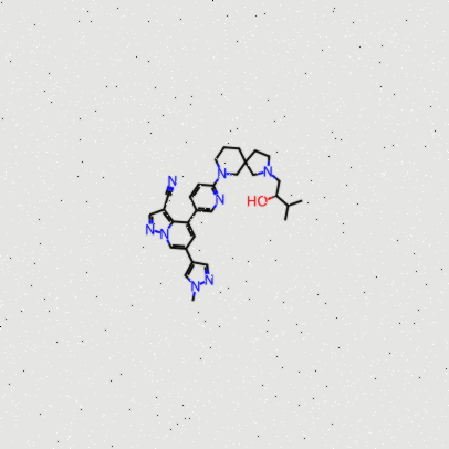 CC(C)[C@@H](O)CN1CCC2(CCCN(c3ccc(-c4cc(-c5cnn(C)c5)cn5ncc(C#N)c45)cn3)C2)C1